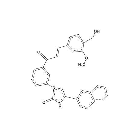 COc1cc(/C=C/C(=O)c2cccc(-n3cc(-c4ccc5ccccc5c4)[nH]c3=O)c2)ccc1CO